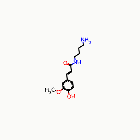 COc1cc(C=CC(=O)NCCCCN)ccc1O